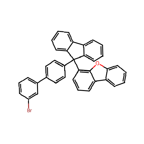 Brc1cccc(-c2ccc(C3(c4cccc5c4oc4ccccc45)c4ccccc4-c4ccccc43)cc2)c1